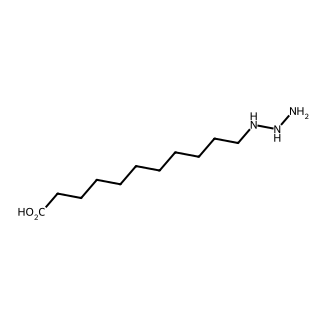 NNNCCCCCCCCCCC(=O)O